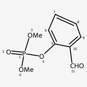 COP(=O)(OC)Oc1ccccc1C=O